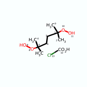 CC(C)(CCC(C)(C)OO)OO.O=C(O)Cl